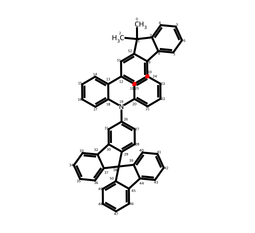 CC1(C)c2ccccc2-c2ccc(-c3ccccc3N(c3ccccc3)c3ccc4c(c3)-c3ccccc3C43c4ccccc4-c4ccccc43)cc21